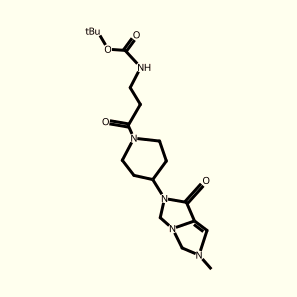 CN1C=C2C(=O)N(C3CCN(C(=O)CCNC(=O)OC(C)(C)C)CC3)CN2C1